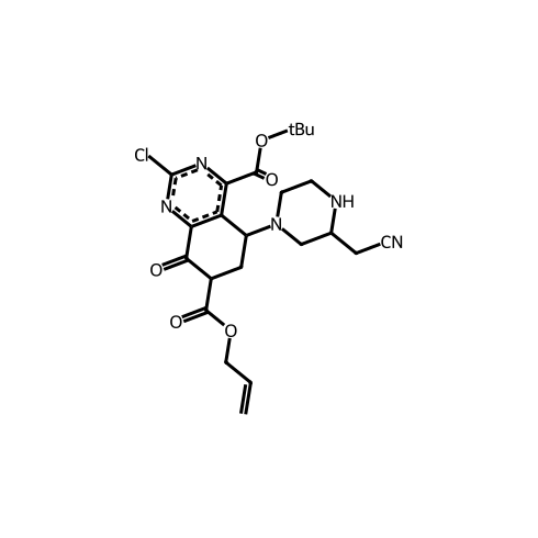 C=CCOC(=O)C1CC(N2CCNC(CC#N)C2)c2c(C(=O)OC(C)(C)C)nc(Cl)nc2C1=O